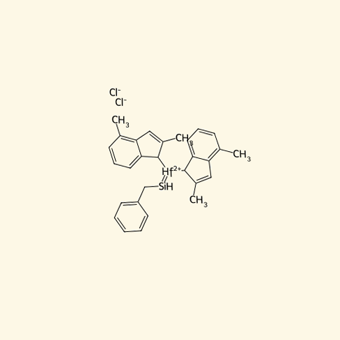 CC1=Cc2c(C)cccc2[CH]1[Hf+2](=[SiH]Cc1ccccc1)[CH]1C(C)=Cc2c(C)cccc21.[Cl-].[Cl-]